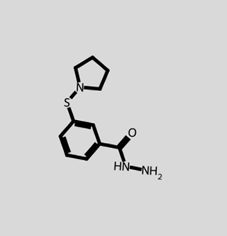 NNC(=O)c1cccc(SN2CCCC2)c1